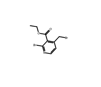 CCOC(=O)c1c(CBr)ccnc1Br